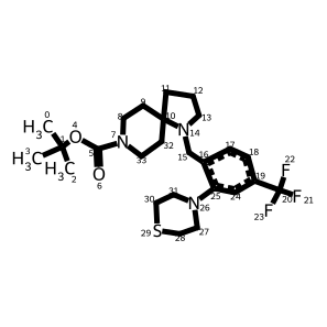 CC(C)(C)OC(=O)N1CCC2(CCCN2Cc2ccc(C(F)(F)F)cc2N2CCSCC2)CC1